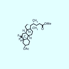 COC(=O)CC[C@@H](C)[C@H]1CC[C@H]2[C@@H]3CC(F)(F)[C@H]4C[C@H](OC(C)=O)CC[C@]4(C)[C@H]3CC[C@]12C